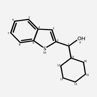 OC(c1cc2ccccc2s1)C1CCCCC1